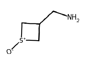 NCC1C[S+]([O-])C1